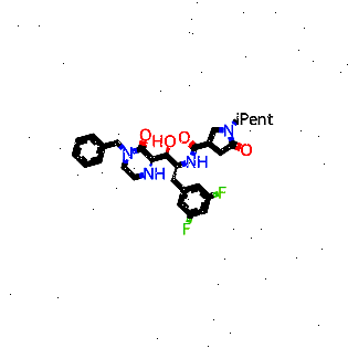 CCCC(C)N1CC(C(=O)N[C@@H](Cc2cc(F)cc(F)c2)[C@H](O)[C@@H]2NCCN(Cc3ccccc3)C2=O)CC1=O